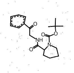 CC(C)(C)OC(=O)N1CCCCC1C(=O)NCC(=O)c1ccccc1